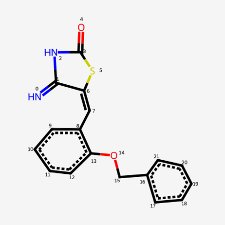 N=C1NC(=O)S/C1=C/c1ccccc1OCc1ccccc1